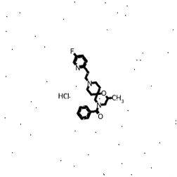 CC1CN(C(=O)c2ccccc2)CC2(CCN(CCc3ccc(F)cn3)CC2)O1.Cl